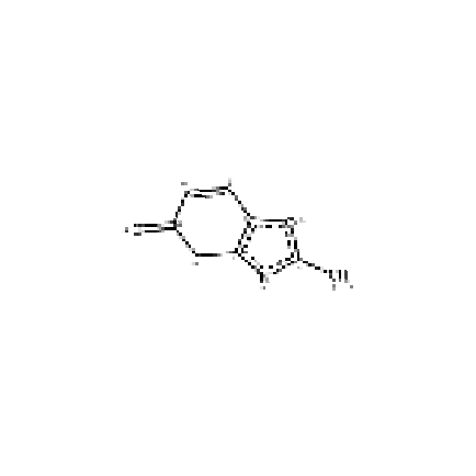 Cc1nc2c(o1)C=CC(=O)C2